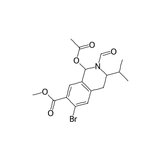 COC(=O)c1cc2c(cc1Br)CC(C(C)C)N(C=O)C2OC(C)=O